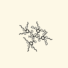 CCCCOc1cc(C(=O)OCC(O)(COC(=O)c2cc(OCCCC)c(OCCCC)c(OCCCC)c2)C(COC(=O)c2cc(OCOC)c(OCCCC)c(OCOC)c2)OC(=O)c2cc(OCOC)c(OCCCC)c(OCOC)c2)cc(OCCCC)c1OCCCC